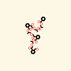 CC(COCC(=O)c1ccccc1C(=O)OC(C)COCC(=O)c1ccccc1C(=O)OC(C)COCC(=O)c1ccccc1C=O)OOC(C)COC(=O)c1ccccc1